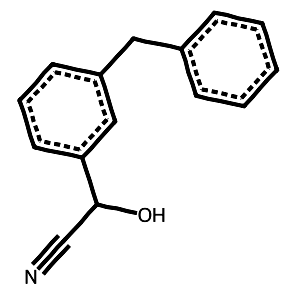 N#CC(O)c1cccc(Cc2ccccc2)c1